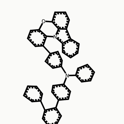 c1ccc(-c2ccccc2-c2ccc(N(c3ccccc3)c3ccc(-c4cccc5c4-n4c6ccccc6c6cccc(c64)O5)cc3)cc2)cc1